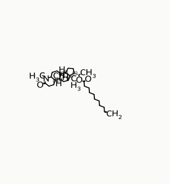 C=CCCCCCCCCC(=O)OC(C)[C@H]1CC[C@H]2[C@@H]3CCC4N(C)C(=O)CC[C@]4(C)[C@H]3CC[C@]12C